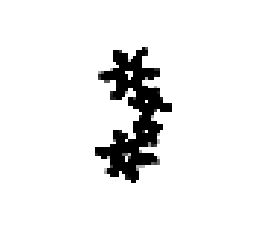 Cc1cc(-c2c(F)c(F)c(F)c(F)c2F)sc1-c1ccc(-c2c(F)c(F)c(C)c(F)c2F)s1